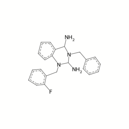 NC1c2ccccc2N(Cc2ccccc2F)C(N)N1Cc1ccccc1